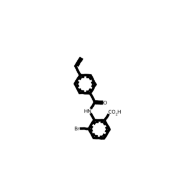 C=Cc1ccc(C(=O)Nc2c(Br)cccc2C(=O)O)cc1